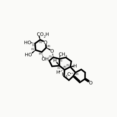 C[C@]12CC[C@H]3[C@@H](CCC4=CC(=O)CC[C@@]43C)[C@@H]1CC[C@@H]2O[C@@H]1O[C@H](C(=O)O)[C@@H](O)[C@H](O)[C@H]1O